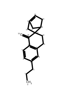 CCCc1ccc2c(c1)CCC1(CC3=CCC1C3)C2=O